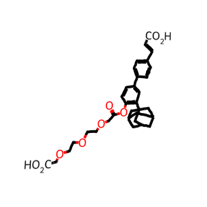 O=C(O)/C=C/c1ccc(-c2ccc(OC(=O)COCCOCCOCC(=O)O)c(C34CC5CC(CC(C5)C3)C4)c2)cc1